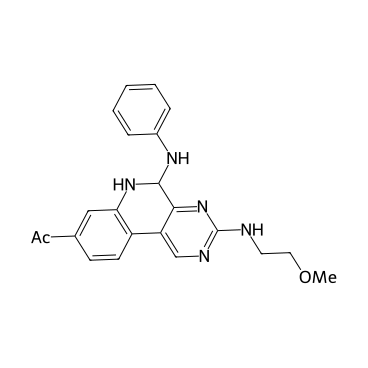 COCCNc1ncc2c(n1)C(Nc1ccccc1)Nc1cc(C(C)=O)ccc1-2